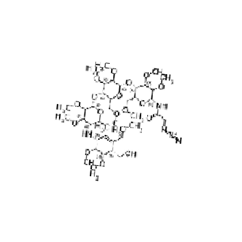 COCC1=C[C@@H](N[C@H]2C(C)O[C@@H](O[C@H]3C(COC)O[C@@H](O[C@H]4C(COC)O[C@@H](NC(=O)CN=[N+]=[N-])C(OC)[C@@H]4OC)C(OC)[C@@H]3OC)C(OC)[C@@H]2OC)C(OC)[C@H](OC)[C@H]1CO